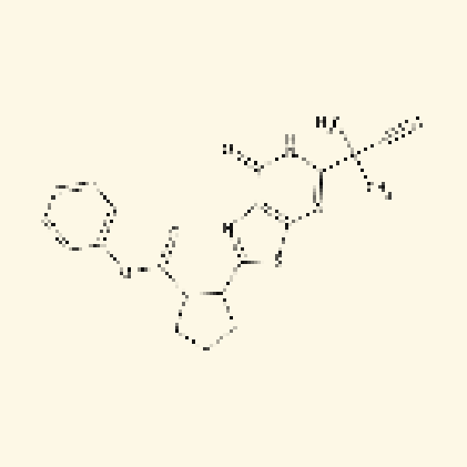 CC(C)(C#N)c1nc2sc(C3CCCN3C(=O)Oc3ccccc3)nc2c(=O)[nH]1